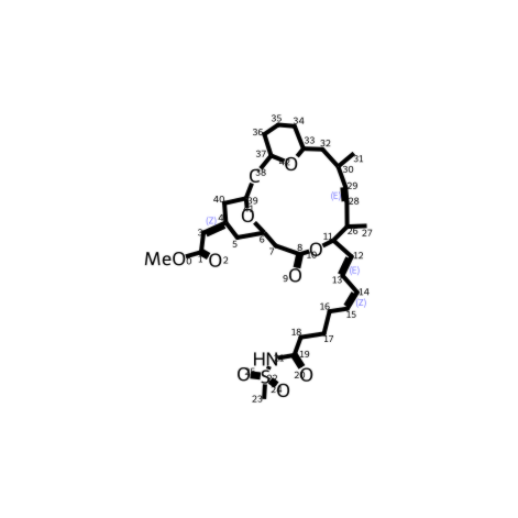 COC(=O)/C=C1\CC2CC(=O)OC(/C=C/C=C\CCCC(=O)NS(C)(=O)=O)C(C)/C=C/C(C)CC3CCCC(CC(C1)O2)O3